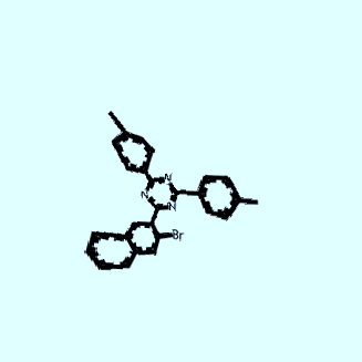 Cc1ccc(-c2nc(-c3ccc(C)cc3)nc(-c3cc4ccccc4cc3Br)n2)cc1